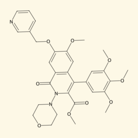 COC(=O)c1c(-c2cc(OC)c(OC)c(OC)c2)c2cc(OC)c(OCc3cccnc3)cc2c(=O)n1N1CCOCC1